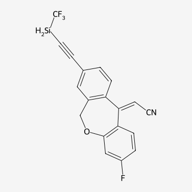 N#CC=C1c2ccc(C#C[SiH2]C(F)(F)F)cc2COc2cc(F)ccc21